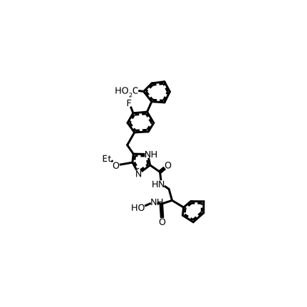 CCOc1nc(C(=O)NCC(C(=O)NO)c2ccccc2)[nH]c1Cc1ccc(-c2ccccc2C(=O)O)c(F)c1